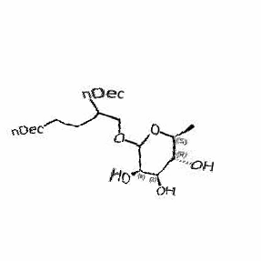 CCCCCCCCCCCCC(CCCCCCCCCC)COC1O[C@@H](C)[C@H](O)[C@@H](O)[C@H]1O